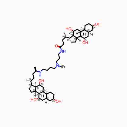 C=C(CC[C@@H](C)[C@@H]1CC[C@H]2[C@@H]3[C@H](O)C[C@@H]4C[C@H](O)CC[C@]4(C)[C@H]3C[C@H](O)[C@@]21C)NCCCCN(CCCNC(=O)CC[C@@H](C)[C@H]1CC[C@H]2[C@@H]3[C@H](O)C[C@@H]4C[C@H](O)CC[C@]4(C)[C@H]3C[C@H](O)[C@]12C)C(C)C